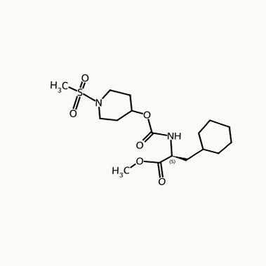 COC(=O)[C@H](CC1CCCCC1)NC(=O)OC1CCN(S(C)(=O)=O)CC1